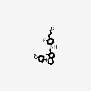 COc1ccc(N2CCCc3ccc(CNc4ccc(CCC=O)c(F)c4)c(C)c32)cc1